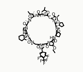 CCO[C@@H]1C[C@H]2C(=O)NC3(CCCC3)C(=O)N(C)[C@@H](C3CCCC3)C(=O)N(C)[C@H](C(=O)N(C)C)CC(=O)N(C)[C@@H](CC(C)C)C(=O)N[C@@H]([C@@H](C)CC)C(=O)N(C)[C@@H](C)C(=O)N3CC[C@H]3C(=O)N(C)[C@@H](CC3CCCCC3)C(=O)N(C)CC(=O)N[C@@H](CCc3cc(F)c(C(F)(F)F)c(F)c3)C(=O)N2C1